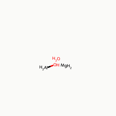 O.[MgH2].[OH][AlH2]